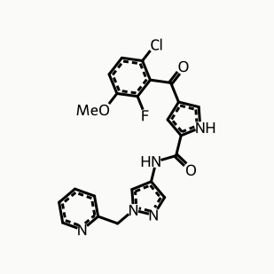 COc1ccc(Cl)c(C(=O)c2c[nH]c(C(=O)Nc3cnn(Cc4ccccn4)c3)c2)c1F